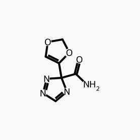 NC(=O)C1(C2=COCO2)N=CN=N1